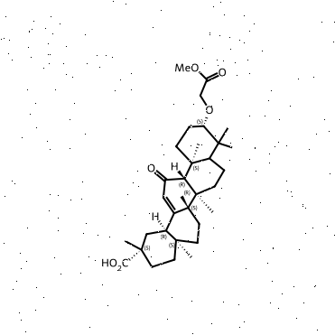 COC(=O)CO[C@H]1CC[C@@]2(C)C(CC[C@]3(C)[C@@H]2C(=O)C=C2[C@@H]4C[C@@](C)(C(=O)O)CC[C@]4(C)CC[C@]23C)C1(C)C